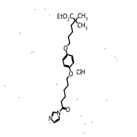 CCOC(=O)C(C)(C)CCCCOc1ccc(OCCCCCC(=O)n2ccnc2)cc1.Cl